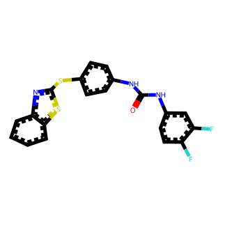 O=C(Nc1ccc(Sc2nc3ccccc3s2)cc1)Nc1ccc(F)c(F)c1